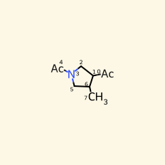 CC(=O)C1CN(C(C)=O)CC1C